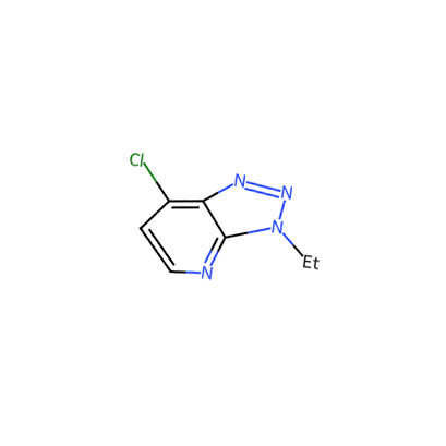 CCn1nnc2c(Cl)ccnc21